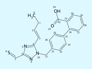 CCC=Cc1nc(C=S)nn1Cc1ccc(-c2ccccc2C(=O)O)cc1